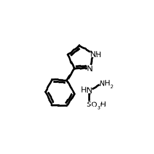 NNS(=O)(=O)O.c1ccc(-c2cc[nH]n2)cc1